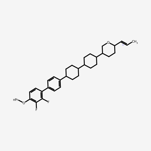 C/C=C/C1CCC(C2CCC(C3CCC(c4ccc(-c5ccc(OCCC)c(F)c5F)cc4)CC3)CC2)CO1